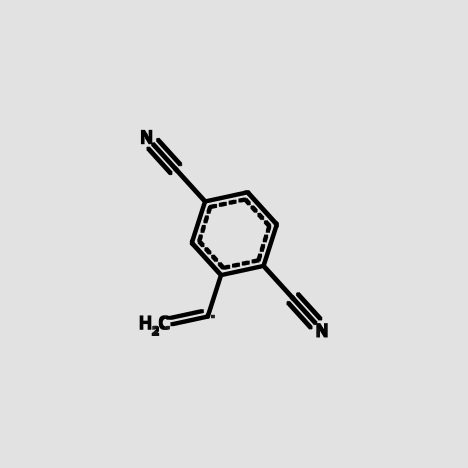 C=[C]c1cc(C#N)ccc1C#N